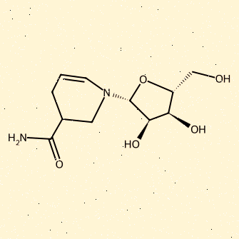 NC(=O)C1CC=CN([C@@H]2O[C@H](CO)[C@@H](O)[C@H]2O)C1